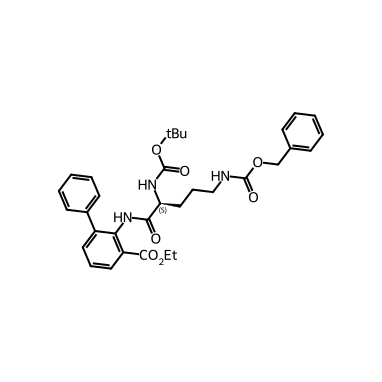 CCOC(=O)c1cccc(-c2ccccc2)c1NC(=O)[C@H](CCCNC(=O)OCc1ccccc1)NC(=O)OC(C)(C)C